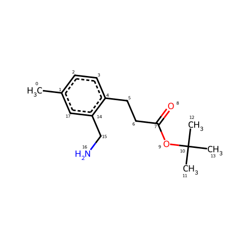 Cc1ccc(CCC(=O)OC(C)(C)C)c(CN)c1